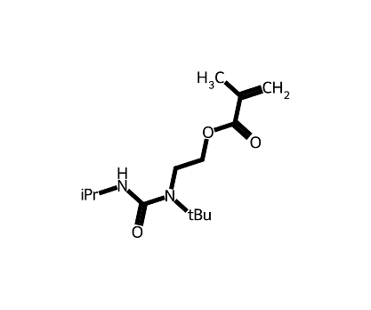 C=C(C)C(=O)OCCN(C(=O)NC(C)C)C(C)(C)C